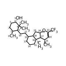 CC1CC[C@H](O)C(C)(C)C1CCC1CCC[C@@]2(C)C1CC1OC(C(F)(F)F)=C[C@@H](C)C12